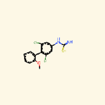 COc1ccccc1-c1c(Cl)cc(NC(=N)S)cc1Cl